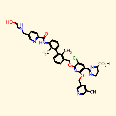 Cc1c(COc2nc(OCc3cncc(C#N)c3)c(C3=NCCC(C(=O)O)N3)cc2Cl)cccc1-c1cccc(NC(=O)c2ccc(CNCCO)cn2)c1C